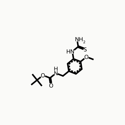 COc1ccc(CNC(=O)OC(C)(C)C)cc1NC(N)=S